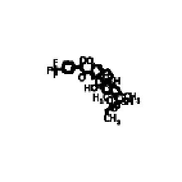 CCC(=O)O[C@]1(C(=O)S)[C@H](C)C[C@H]2[C@@H]3CCC4=CC(=O)C(C(=O)C(=O)c5ccc(C(F)(F)F)cc5)=C[C@]4(C)[C@@]3(F)[C@@H](O)C[C@@]21C